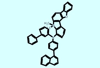 C[Si]1(C)c2ccc3c(oc4ccccc43)c2-c2cccc(N(c3ccc(-c4cccc5ccccc45)cc3)c3cccc(-c4ccccc4)c3)c21